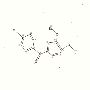 CCOc1ccc(C(=O)c2ccc(I)cc2)cc1OCC